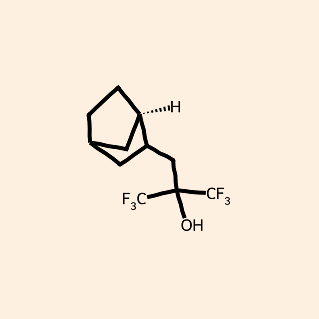 OC(CC1CC2CC[C@@H]1C2)(C(F)(F)F)C(F)(F)F